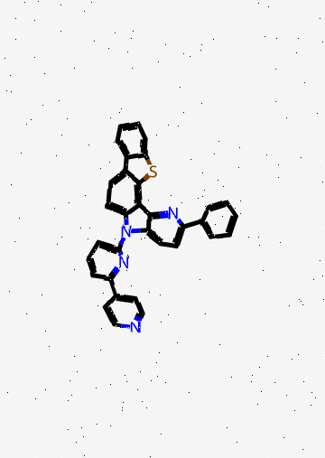 c1ccc(-c2ccc3c(n2)c2c4sc5ccccc5c4ccc2n3-c2cccc(-c3ccncc3)n2)cc1